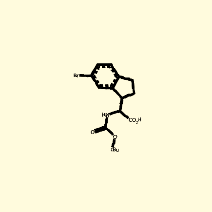 CC(C)(C)OC(=O)NC(C(=O)O)C1CCc2ccc(Br)cc21